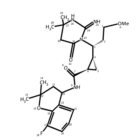 COCC[C@H]([C@@H]1C[C@H]1C(=O)NC1CC(C)(C)Oc2c(F)cccc21)N1C(=N)NC(C)(C)CC1=O